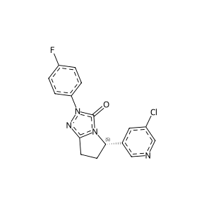 O=c1n(-c2ccc(F)cc2)nc2n1[C@H](c1cncc(Cl)c1)CC2